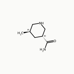 C[C@H]1CNC[C@H](C(N)=O)C1